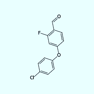 O=Cc1ccc(Oc2ccc(Cl)cc2)cc1F